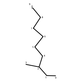 CCC(C)CCCCCI